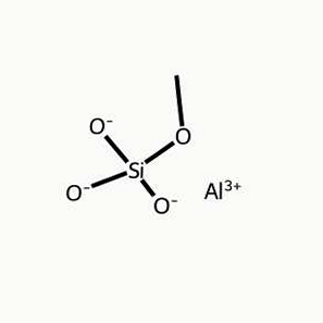 CO[Si]([O-])([O-])[O-].[Al+3]